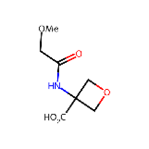 COCC(=O)NC1(C(=O)O)COC1